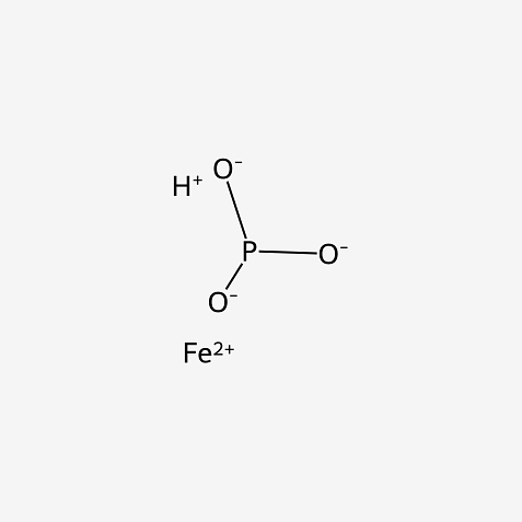 [Fe+2].[H+].[O-]P([O-])[O-]